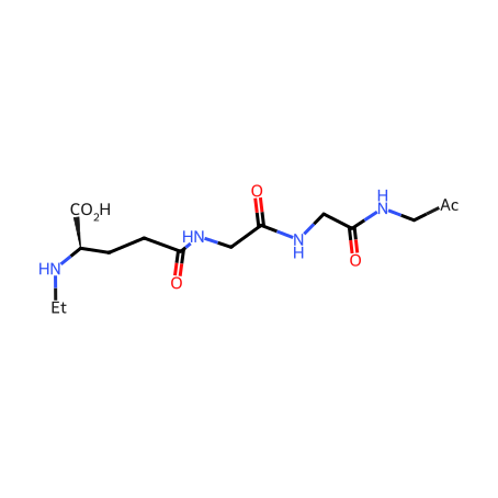 CCN[C@H](CCC(=O)NCC(=O)NCC(=O)NCC(C)=O)C(=O)O